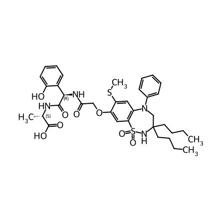 CCCCC1(CCCC)CN(c2ccccc2)c2cc(SC)c(OCC(=O)N[C@@H](C(=O)N[C@@H](C)C(=O)O)c3ccccc3O)cc2S(=O)(=O)N1